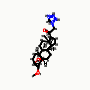 COC1C2[C@@H]3CC[C@@H]4[C@H](CC[C@]5(C)[C@@H](C(=O)Cn6cnnn6)CC[C@@H]45)[C@H]3CC[C@]12O